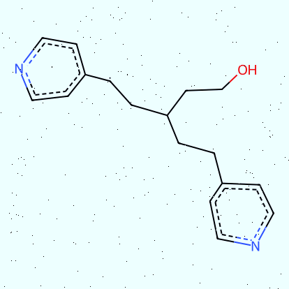 OCCC(C[CH]c1ccncc1)CCc1ccncc1